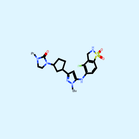 CC(C)N1CCN(C2CCC(c3cc(Nc4ccc5c(c4F)CNS5(=O)=O)n(C(C)(C)C)n3)C2)C1=O